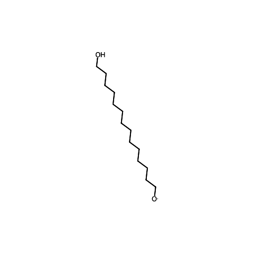 [O]CCCCCCCCCCCCCCO